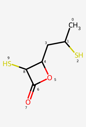 CC(S)CC1OC(=O)C1S